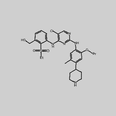 CCS(=O)(=O)c1c(CO)cccc1Nc1nc(Nc2cc(C)c(C3CCNCC3)cc2OC(C)C)ncc1Cl